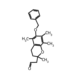 Cc1c(C)c2c(c(C)c1OCc1ccccc1)CCC(C)(CC=O)O2